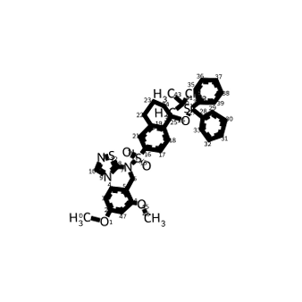 COc1ccc(CN(c2ncns2)S(=O)(=O)c2ccc3c(c2)CCCC3O[Si](c2ccccc2)(c2ccccc2)C(C)(C)C)c(OC)c1